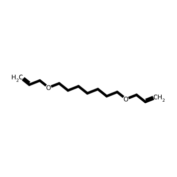 C=CCOCCCCCCCOCC=C